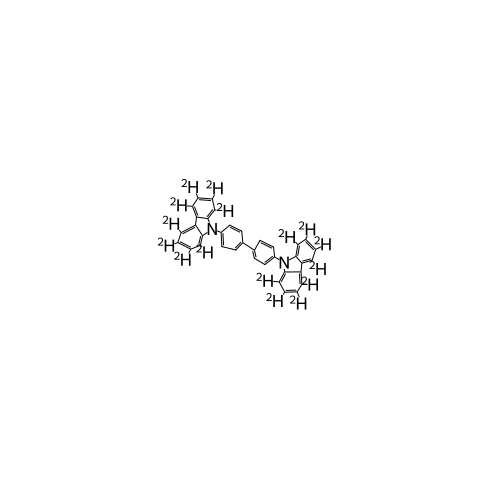 [2H]c1c([2H])c([2H])c2c(c1[2H])c1c([2H])c([2H])c([2H])c([2H])c1n2-c1ccc(-c2ccc(-n3c4c([2H])c([2H])c([2H])c([2H])c4c4c([2H])c([2H])c([2H])c([2H])c43)cc2)cc1